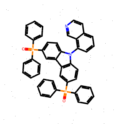 O=P(c1ccccc1)(c1ccccc1)c1ccc2c(c1)c1cc(P(=O)(c3ccccc3)c3ccccc3)ccc1n2-c1cccc2ccncc12